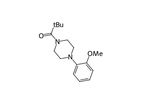 COc1ccccc1N1CCN(C(=O)C(C)(C)C)CC1